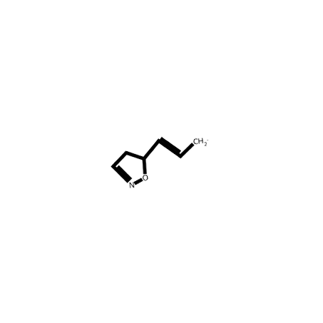 [CH2]/C=C/C1CC=NO1